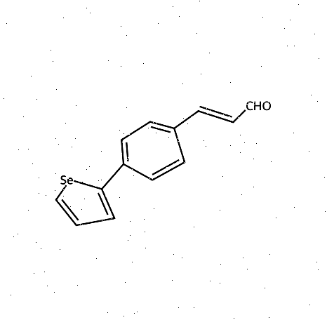 O=CC=Cc1ccc(-c2ccc[se]2)cc1